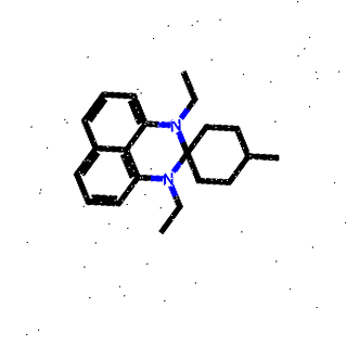 CCN1c2cccc3cccc(c23)N(CC)C12CCC(C)CC2